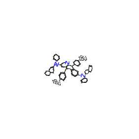 CC(C)(C)c1ccc(-c2c3ccc(N(c4ccccc4)c4ccc5ccccc5c4)cc3c(-c3ccc(C(C)(C)C)cc3)c3ncc(N(c4ccccc4)c4ccc5ccccc5c4)cc23)cc1